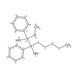 CCCCCC(O)(c1ccccc1)C(O)(OC)c1ccccc1